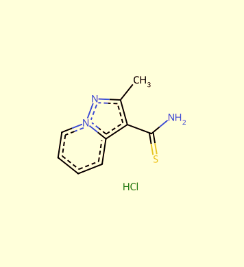 Cc1nn2ccccc2c1C(N)=S.Cl